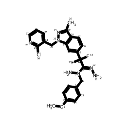 COc1ccc(CN(N)/C(=N\N)C(F)(F)c2ccc3c(C)nn(Cc4cccnc4Cl)c3c2)cc1